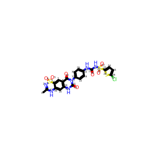 CC1=NS(=O)(=O)c2cc3c(=O)n(-c4ccc(NC(=O)NS(=O)(=O)c5ccc(Cl)s5)cc4)c(=O)[nH]c3cc2N1